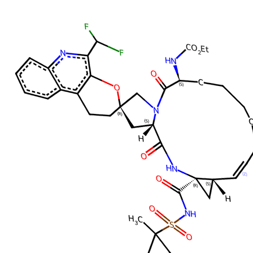 CCOC(=O)N[C@H]1CCCCC/C=C\[C@@H]2C[C@@]2(C(=O)NS(=O)(=O)C2(C)CC2)NC(=O)[C@@H]2C[C@]3(CCc4c(c(C(F)F)nc5ccccc45)O3)CN2C1=O